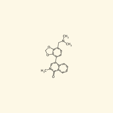 CN(C)Cc1ccc(-c2cn(C)c(=O)c3ccccc23)c2c1OCO2